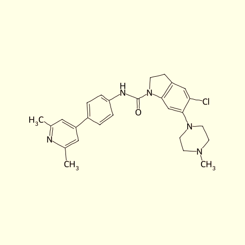 Cc1cc(-c2ccc(NC(=O)N3CCc4cc(Cl)c(N5CCN(C)CC5)cc43)cc2)cc(C)n1